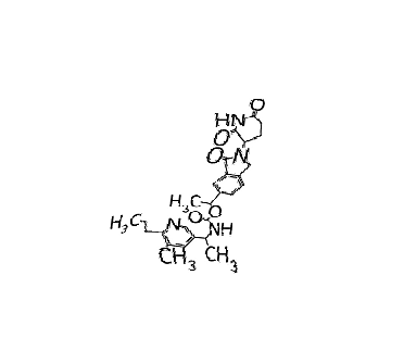 CCCc1ncc(C(C)NC(=O)OC(C)c2ccc3c(c2)C(=O)N(C2CCC(=O)NC2=O)C3)cc1C